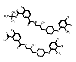 Cc1c(OC2CCN(C[C@H](O)CNC(=O)c3ccc(Cl)c(C(=O)O)c3)CC2)ccc(Cl)c1Cl.Cc1c(OC2CCN(C[C@H](O)CNC(=O)c3ccc(Cl)c(C(=O)OC(C)(C)C)c3)CC2)ccc(Cl)c1Cl